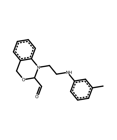 Cc1cccc(NCCN2c3ccccc3COC2C=O)c1